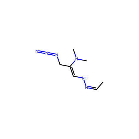 C/C=N\N/C=C(/CN=[N+]=[N-])N(C)C